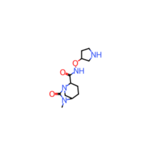 CN1C(=O)N2CC1CCC2C(=O)NOC1CCNC1